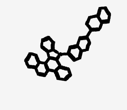 C1=C(c2ccc3ccc(-n4c5ccccc5c5c6c7ccccc7ccc6c6ccccc6c54)cc3c2)CCc2ccccc21